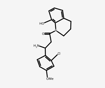 COc1ccc(C(N)CC(=O)N2CCCc3cccc(O)c32)c(Cl)c1